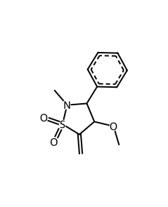 C=C1C(OC)C(c2ccccc2)N(C)S1(=O)=O